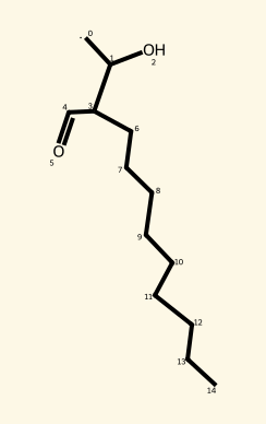 [CH2]C(O)C(C=O)CCCCCCCCC